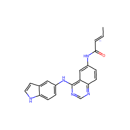 C/C=C/C(=O)Nc1ccc2ncnc(Nc3ccc4[nH]ccc4c3)c2c1